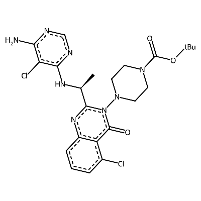 C[C@H](Nc1ncnc(N)c1Cl)c1nc2cccc(Cl)c2c(=O)n1N1CCN(C(=O)OC(C)(C)C)CC1